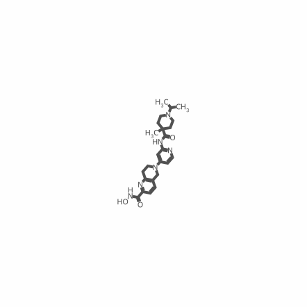 CC(C)N1CCC(C)(C(=O)Nc2cc(N3CCc4nc(C(=O)NO)ccc4C3)ccn2)CC1